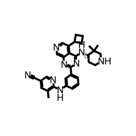 Cc1cc(C#N)cnc1Nc1cccc(-c2nc(N[C@H]3CCNCC3(C)C)c3c(C4CCC4)cncc3n2)c1